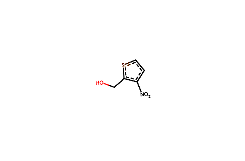 O=[N+]([O-])c1ccsc1CO